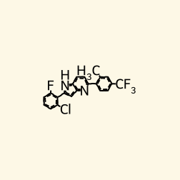 Cc1cc(C(F)(F)F)ccc1-c1ccc2[nH]c(-c3c(F)cccc3Cl)cc2n1